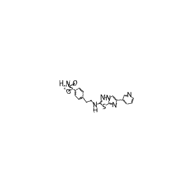 NS(=O)(=O)c1ccc(CCNc2nn3cc(-c4cccnc4)nc3s2)cc1